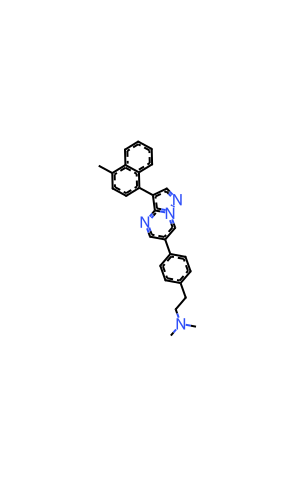 Cc1ccc(-c2cnn3cc(-c4ccc(CCN(C)C)cc4)cnc23)c2ccccc12